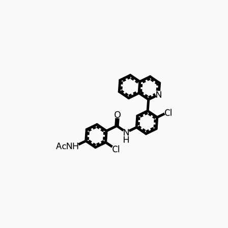 CC(=O)Nc1ccc(C(=O)Nc2ccc(Cl)c(-c3nccc4ccccc34)c2)c(Cl)c1